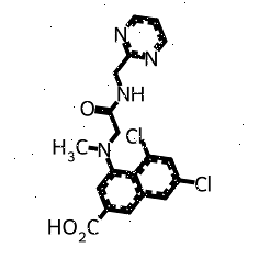 CN(CC(=O)NCc1ncccn1)c1cc(C(=O)O)cc2cc(Cl)cc(Cl)c12